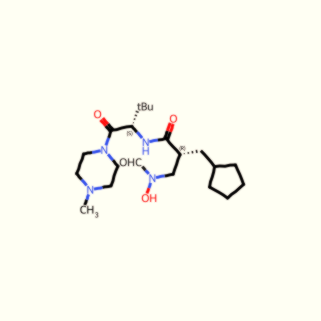 CN1CCN(C(=O)[C@@H](NC(=O)[C@H](CC2CCCC2)CN(O)C=O)C(C)(C)C)CC1